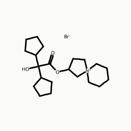 O=C(OC1CC[N+]2(CCCCC2)C1)C(O)(C1CCCC1)C1CCCC1.[Br-]